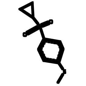 CSc1ccc(S(=O)(=O)C2CC2)cc1